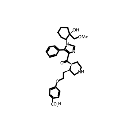 COC[C@]1(O)CCCC[C@H]1n1cnc(C(=O)N2CCNC[C@H]2CCOc2ccc(C(=O)O)cc2)c1-c1ccccc1